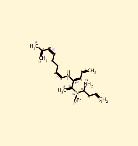 C=C/C=C(\N/C=C\CC/C=C\C(=C)C)C(=C)N(CCC)C(N)CC=C